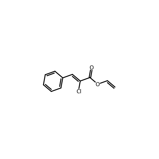 C=COC(=O)C(Cl)=Cc1ccccc1